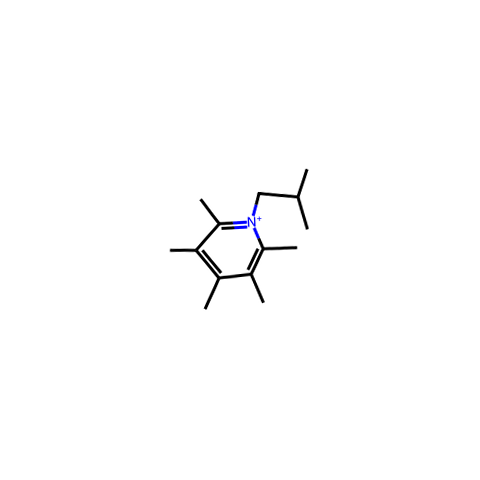 Cc1c(C)c(C)[n+](CC(C)C)c(C)c1C